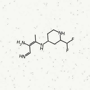 C/C(NC1CCNC(C(F)F)C1)=C(\N)C=N